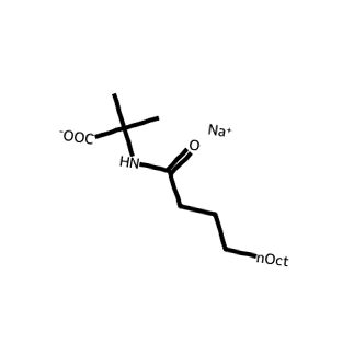 CCCCCCCCCCCC(=O)NC(C)(C)C(=O)[O-].[Na+]